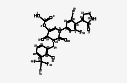 O=C(O)Oc1cn(-c2cc(F)c(N3CCNC3=O)c(F)c2)c(=O)n(Cc2cccc(C(F)(F)F)c2Cl)c1=O